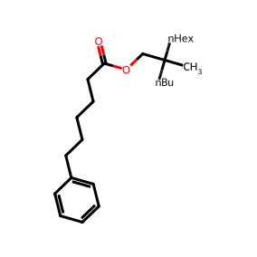 CCCCCCC(C)(CCCC)COC(=O)CCCCCc1ccccc1